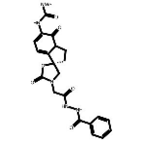 CNC(=O)NC1=CC=C2C(CC[C@@]23CN(CC(=O)NNC(=O)c2ccccc2)C(=O)O3)C1=O